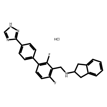 Cl.Fc1ccc(-c2ccc(-c3nc[nH]n3)cc2)c(F)c1CNC1Cc2ccccc2C1